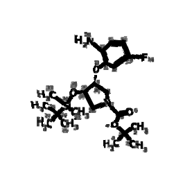 CC(C)(C)OC(=O)N1C[C@@H](Oc2cc(F)ccc2N)[C@H](O[Si](C)(C)C(C)(C)C)C1